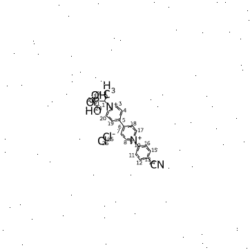 CC([n+]1ccc(-c2cc[n+](-c3ccc(C#N)cc3)cc2)cc1)P(=O)(O)O.[Cl-].[Cl-]